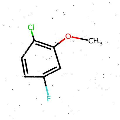 COc1cc(F)[c]cc1Cl